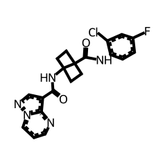 O=C(NC12CCC1(C(=O)Nc1ccc(F)cc1Cl)CC2)c1cnn2cccnc12